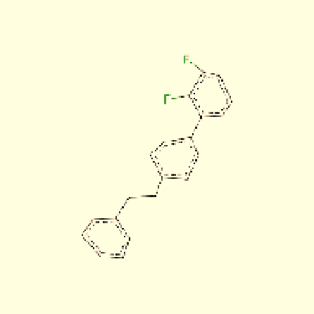 Fc1cccc(-c2ccc(CCc3ccccc3)cc2)c1F